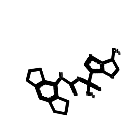 CC1COc2c(S(N)(=O)=NC(=O)Nc3c4c(cc5c3CCC5)CCC4)cnn21